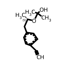 C#Cc1ccc(C[C@H](C)OC(C)(C)O)cc1